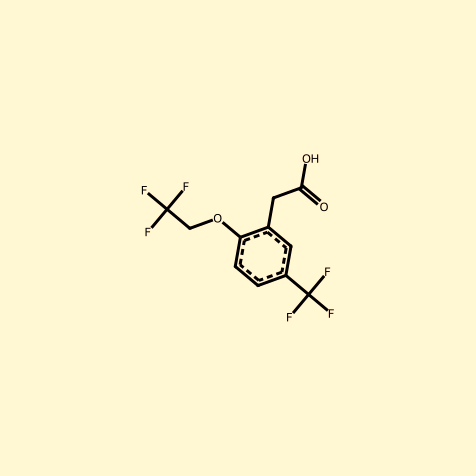 O=C(O)Cc1cc(C(F)(F)F)ccc1OCC(F)(F)F